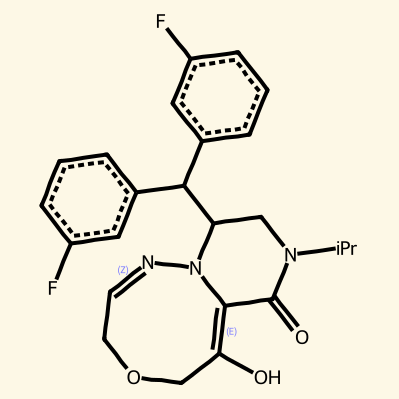 CC(C)N1CC(C(c2cccc(F)c2)c2cccc(F)c2)N2/N=C\COC/C(O)=C\2C1=O